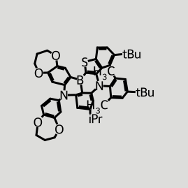 Cc1cc(C(C)(C)C)cc(C)c1N1c2cc(C(C)C)cc3c2B(c2cc4c(cc2N3c2ccc3c(c2)OCCCO3)OCCCO4)c2sc3ccc(C(C)(C)C)cc3c21